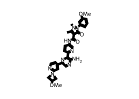 COc1cccc(-n2c(=O)c(C(=O)Nc3ccc(-c4nc(-c5ccnc(N6CC(OC)C6)c5)cnc4N)nc3)c(C)n2C)c1